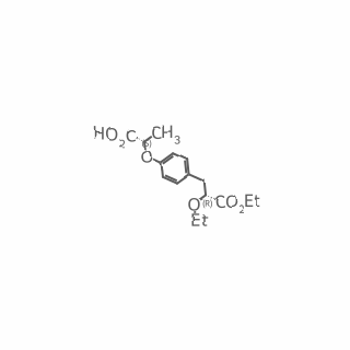 CCOC(=O)[C@@H](Cc1ccc(O[C@@H](C)C(=O)O)cc1)OCC